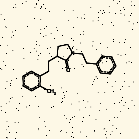 Cc1ccccc1CCC1CCN(CCc2ccccc2)C1=O